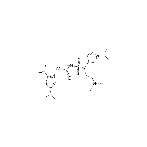 CC(C)c1cc(NC(=O)NS(=O)(=O)N(CCN(C)C)c2cnn(C(C)C)c2)c(C(C)C)o1